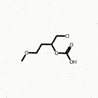 COCCC(CCl)OC(=O)O